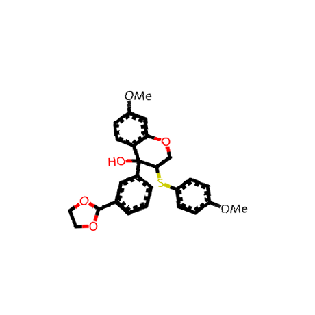 COc1ccc(SC2COc3cc(OC)ccc3C2(O)c2cccc(C3OCCO3)c2)cc1